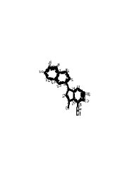 CC1=CC(c2ccc3ccccc3c2)c2cccc(Br)c21